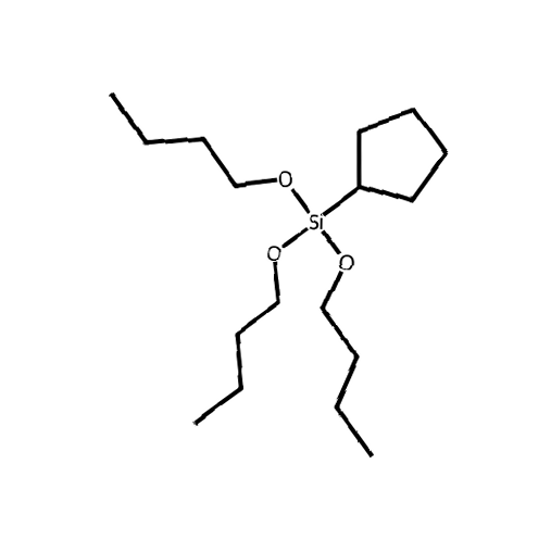 CCCCO[Si](OCCCC)(OCCCC)C1CCCC1